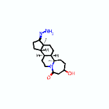 C[C@]12CC[C@H]3[C@@H](CCN4C(=O)CC(O)CC[C@]34C)[C@@H]1CC/C2=N/N